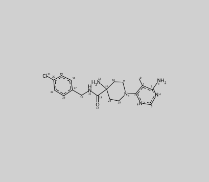 Cc1c(N)ncnc1N1CCC(N)(C(=O)NCc2ccc(Cl)cc2)CC1